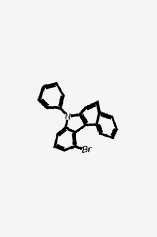 Brc1cccc2c1c1c3ccccc3ccc1n2-c1ccccc1